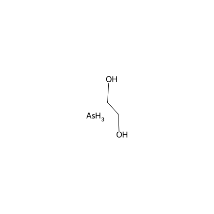 OCCO.[AsH3]